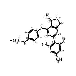 N#Cc1cc(Cl)c(-c2nc3c(c(Nc4ccc(CC(=O)O)cc4)n2)C(O)NC3)c(Cl)c1